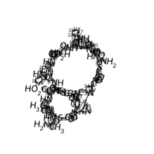 CC(C)[C@@H]1NC(=O)[C@H](Cc2c[nH]c3ccccc23)NC(=O)[C@@H]2CSCCS(=O)(=O)N3Cc4cncc(c4)CN(Cc4cncc(c4)CN(Cc4cncc(c4)C3)S(=O)(=O)CCSC[C@H](NC(=O)[C@H](C)N)C(=O)N[C@@H]([C@@H](C)O)C(=O)N[C@@H](CCC(=O)O)C(=O)N2)S(=O)(=O)CCSC[C@@H](C(N)=O)NC(=O)[C@@H]2CCCN2C(=O)[C@H](C(C)C)NC(=O)[C@H](Cc2c[nH]c3ccccc23)NC(=O)CNC(=O)[C@H](CC(=O)O)NC1=O